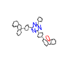 c1ccc(-c2nc(-c3ccc(-c4cc5ccccc5c5ccccc45)cc3)nc(-c3ccc(-c4cccc5c4oc4ccccc45)cc3)n2)cc1